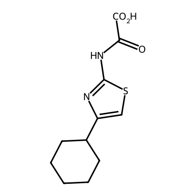 O=C(O)C(=O)Nc1nc(C2CCCCC2)cs1